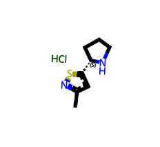 Cc1cc([C@@H]2CCCN2)sn1.Cl